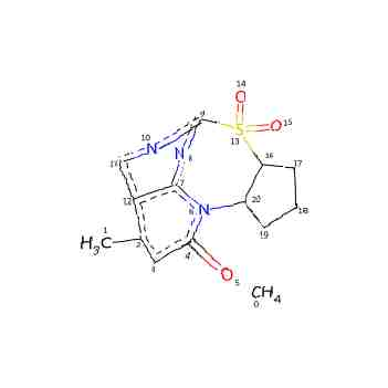 C.Cc1cc(=O)n2c3nc(ncc13)S(=O)(=O)C1CCCC12